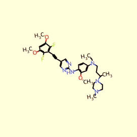 CCN(CCC(C)N1CCN(C)CC1)c1ccc(Nc2ncc(C#Cc3c(F)c(OC)cc(OC)c3F)cn2)c(OC)c1